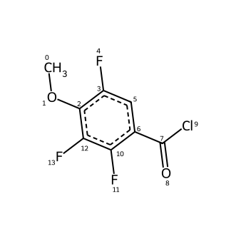 COc1c(F)cc(C(=O)Cl)c(F)c1F